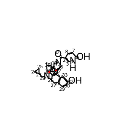 O=C(C1=CNC(O)C=C1)N1C[C@H]2CC34CCC1C2C31CCN(CC2CC2)C4Cc2ccc(O)cc21